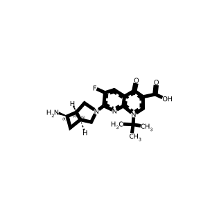 CC(C)(C)n1cc(C(=O)O)c(=O)c2cc(F)c(N3C[C@H]4C[C@@H](N)[C@H]4C3)nc21